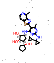 Cc1nc(NC2(C3CC3)CC2)nc(N[C@@H]2C[C@H](C3(O)CCCC3)[C@@H](O)[C@H]2O)c1-c1nc2c(C)nccc2s1